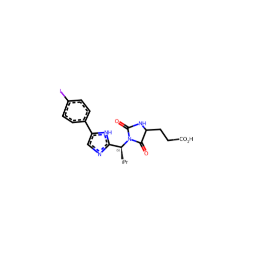 CC(C)[C@@H](c1ncc(-c2ccc(I)cc2)[nH]1)N1C(=O)NC(CCC(=O)O)C1=O